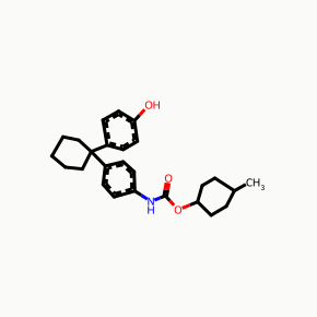 CC1CCC(OC(=O)Nc2ccc(C3(c4ccc(O)cc4)CCCCC3)cc2)CC1